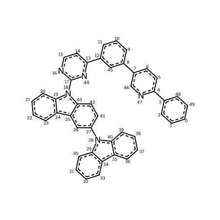 c1ccc(-c2ccc(-c3cccc(-c4ccnc(-n5c6ccccc6c6cc(-n7c8ccccc8c8ccccc87)ccc65)n4)c3)cn2)cc1